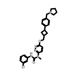 CN(C(=O)Nc1cccc(Cl)c1)c1ccc(OCC2CC(c3ccc(CN4CCCC4)cc3)C2)nn1